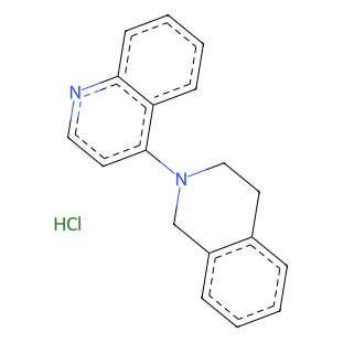 Cl.c1ccc2c(c1)CCN(c1ccnc3ccccc13)C2